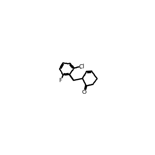 O=C1CCC=CC1Cc1c(F)cccc1Cl